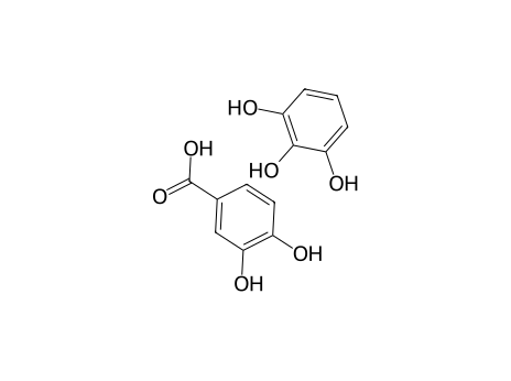 O=C(O)c1ccc(O)c(O)c1.Oc1cccc(O)c1O